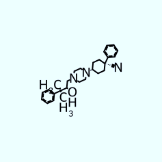 CC(C)(c1ccccc1)C(O)CN1CCN([C@H]2CC[C@](C#N)(c3ccccc3)CC2)CC1